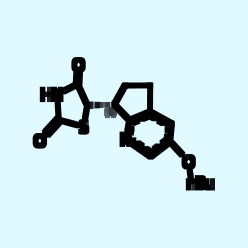 CCCCOc1cnc2c(c1)CC[C@H]2C1SC(=O)NC1=O